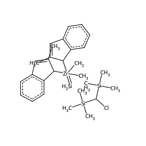 CC1=Cc2ccccc2[CH]1[Zr]([CH3])([CH3])(=[SiH2])[CH]1C(C)=Cc2ccccc21.C[Si](C)(C)C(Cl)[Si](C)(C)C